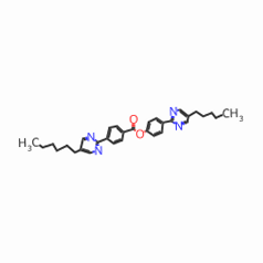 CCCCCCc1cnc(-c2ccc(C(=O)Oc3ccc(-c4ncc(CCCCC)cn4)cc3)cc2)nc1